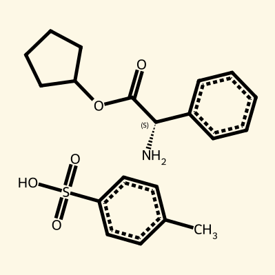 Cc1ccc(S(=O)(=O)O)cc1.N[C@H](C(=O)OC1CCCC1)c1ccccc1